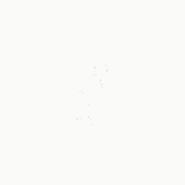 CCCCN(CCCC)CCCC1c2[nH]c3ccccc3c2CCN1C(C)=O